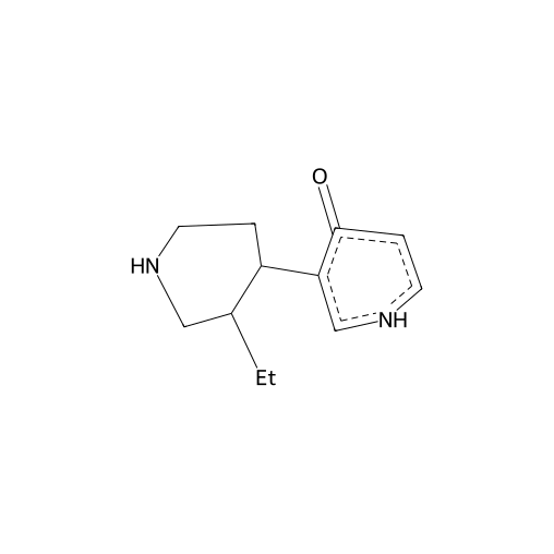 CCC1CNCCC1c1c[nH]ccc1=O